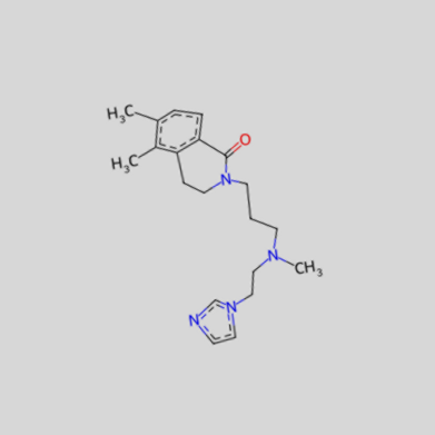 Cc1ccc2c(c1C)CCN(CCCN(C)CCn1ccnc1)C2=O